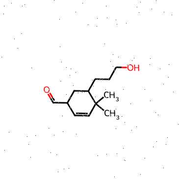 CC1(C)C=CC(C=O)CC1CCCO